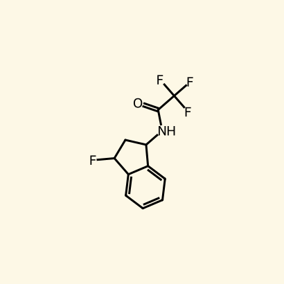 O=C(NC1CC(F)c2ccccc21)C(F)(F)F